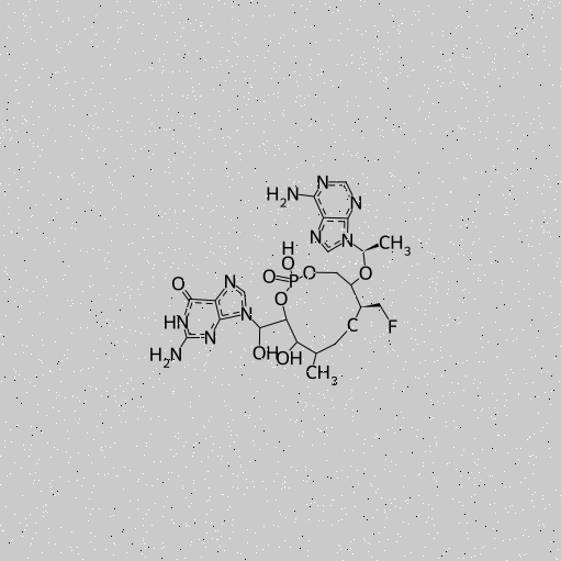 CC1CC[C@H](CF)C(O[C@H](C)n2cnc3c(N)ncnc32)COP(=O)(O)OC(C(O)n2cnc3c(=O)[nH]c(N)nc32)C1O